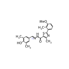 COc1cccc(-c2nc(C)c(C(=O)N/N=C/c3cc(C)c(O)c(C)c3)s2)c1C